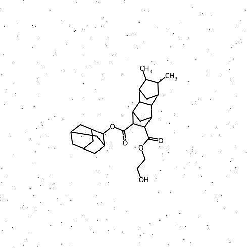 CC1C(C)C2CC1C1C3CC(C(C(=O)OC4C5CC6CC(C5)CC4C6)C3C(=O)OCCO)C21